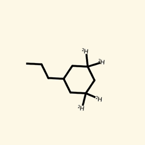 [2H]C1([2H])CC(CCC)CC([2H])([2H])C1